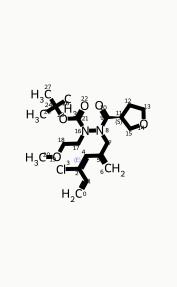 C=C/C(Cl)=C\C(=C)CN(C(=O)[C@H]1CCOC1)N(CCOC)C(=O)OC(C)(C)C